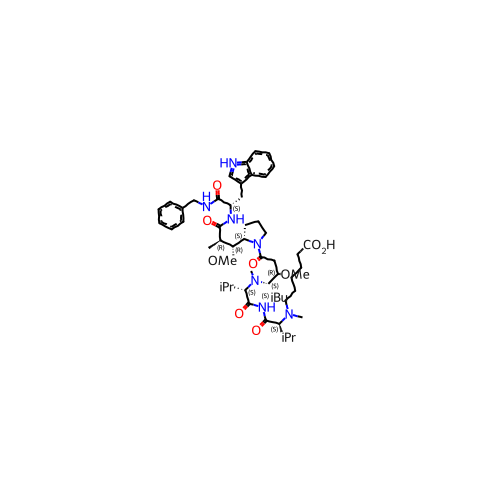 CC[C@H](C)[C@@H]([C@@H](CC(=O)N1CCC[C@H]1[C@H](OC)[C@@H](C)C(=O)N[C@@H](Cc1c[nH]c2ccccc12)C(=O)NCc1ccccc1)OC)N(C)[C@H](C(=O)NC(=O)[C@H](C(C)C)N(C)CCCCCC(=O)O)C(C)C